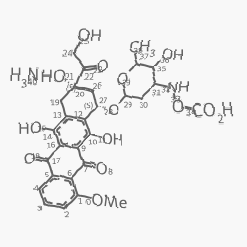 COc1cccc2c1C(=O)c1c(O)c3c(c(O)c1C2=O)C[C@@](O)(C(=O)CO)C[C@@H]3OC1CC(NOC(=O)O)C(O)C(C)O1.N